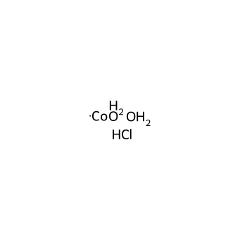 Cl.O.O.[Co]